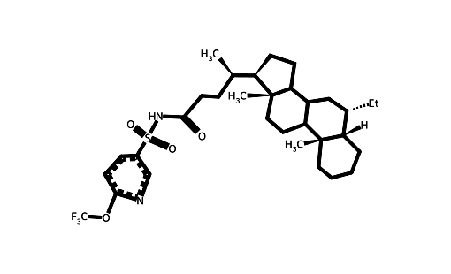 CC[C@H]1CC2C3CC[C@H]([C@H](C)CCC(=O)NS(=O)(=O)c4ccc(OC(F)(F)F)nc4)[C@@]3(C)CCC2[C@@]2(C)CCCC[C@@H]12